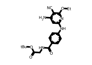 CCOc1nc(Nc2ccc(C(=O)NCC(=O)OC(C)(C)C)cc2)cc(N)c1C#N